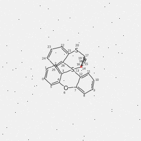 c1ccc2c(c1)Oc1ccccc1S21c2ccccc2Sc2ccccc21